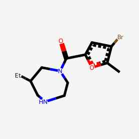 CCC1CNCCN(C(=O)c2cc(Br)c(C)o2)C1